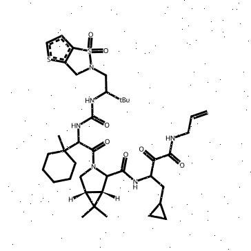 C=CCNC(=O)C(=O)C(CC1CC1)NC(=O)C1[C@H]2[C@@H](CN1C(=O)C(NC(=O)NC(CN1Cc3sccc3S1(=O)=O)C(C)(C)C)C1(C)CCCCC1)C2(C)C